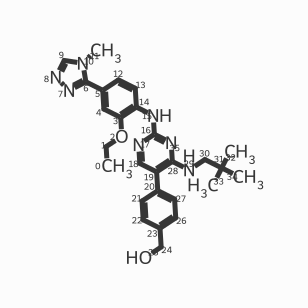 CCOc1cc(-c2nncn2C)ccc1Nc1ncc(-c2ccc(CO)cc2)c(NCC(C)(C)C)n1